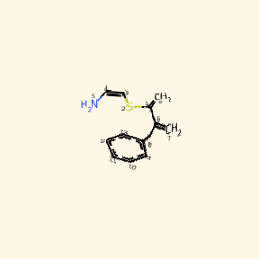 C=C(S/C=C\N)C(=C)c1ccccc1